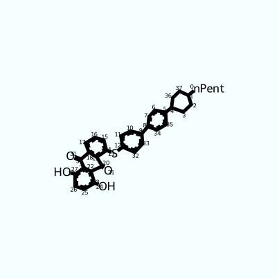 CCCCCC1CCC(c2ccc(-c3ccc(Sc4cccc5c4C(=O)c4c(O)ccc(O)c4C5=O)cc3)cc2)CC1